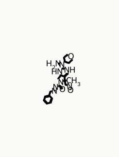 CC1(CN=O)C2=CNC(N(N)C3CCOCC3)NC2CN1C(=O)N=NCc1ccccc1